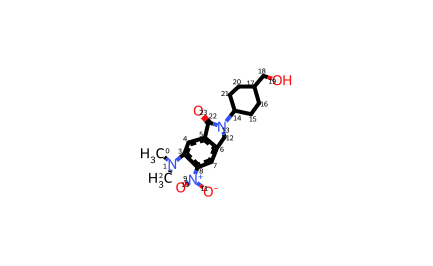 CN(C)c1cc2c(cc1[N+](=O)[O-])CN(C1CCC(CO)CC1)C2=O